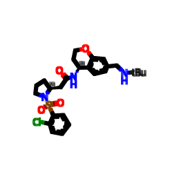 CC(C)(C)NCc1ccc2c(c1)OCC[C@H]2NC(=O)C[C@@H]1CCCN1S(=O)(=O)c1ccccc1Cl